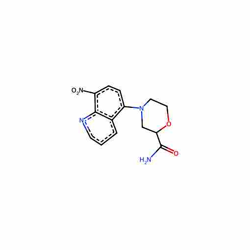 NC(=O)C1CN(c2ccc([N+](=O)[O-])c3ncccc23)CCO1